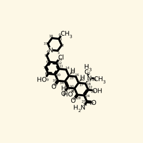 CC1CCN(Cc2cc(O)c3c(c2Cl)C[C@H]2C[C@H]4[C@H](N(C)C)C(O)=C(C(N)=O)C(=O)[C@@]4(O)C(O)=C2C3=O)CC1